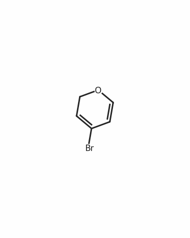 BrC1=CCOC=C1